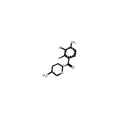 Cc1ccc(C(=O)[C@@H]2CCC(C)CO2)c(F)c1Cl